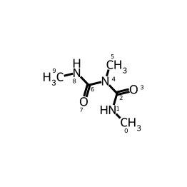 CNC(=O)N(C)C(=O)NC